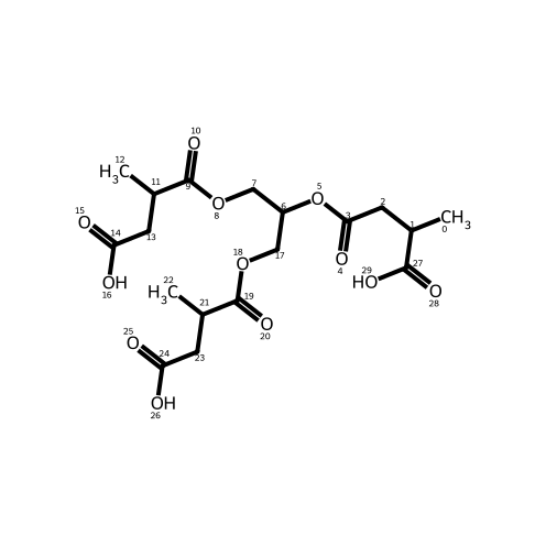 CC(CC(=O)OC(COC(=O)C(C)CC(=O)O)COC(=O)C(C)CC(=O)O)C(=O)O